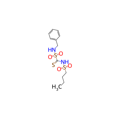 CCCCS(=O)(=O)NC(=S)S(=O)(=O)NCc1ccccc1